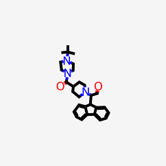 CC(C)(C)N1CCN(C(=O)C2CCN(C(C=O)C3c4ccccc4-c4ccccc43)CC2)CC1